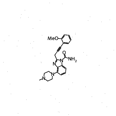 COc1ccccc1C#CCc1nc2c(N3CCN(C)CC3)cccc2n1C(N)=O